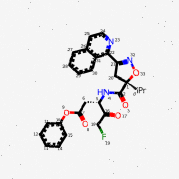 CC(C)[C@@]1(C(=O)N[C@@H](CC(=O)Oc2ccccc2)C(=O)CF)CC(c2nccc3ccccc23)=NO1